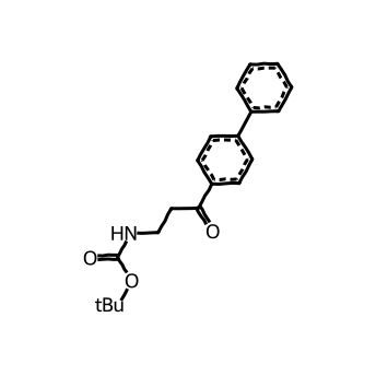 CC(C)(C)OC(=O)NCCC(=O)c1ccc(-c2ccccc2)cc1